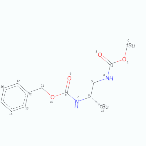 CC(C)(C)OC(=O)NC[C@@H](NC(=O)OCc1ccccc1)C(C)(C)C